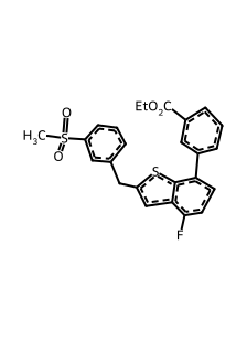 CCOC(=O)c1cccc(-c2ccc(F)c3cc(Cc4cccc(S(C)(=O)=O)c4)sc23)c1